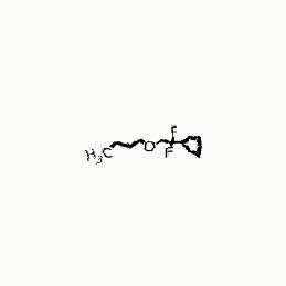 CCCCOCC(F)(F)c1ccccc1